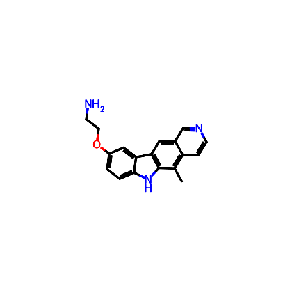 Cc1c2ccncc2cc2c1[nH]c1ccc(OCCN)cc12